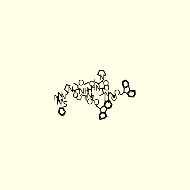 CC(NCC(=O)OCC1c2ccccc2-c2ccccc21)C(=O)NC(C(=O)N1CCCC1)C(C)OCCOC(C)C(NC(=O)C(C)NCC(=O)OCC1c2ccccc2-c2ccccc21)C(=O)N1CCCC1Cn1nnnc1Sc1ccccc1